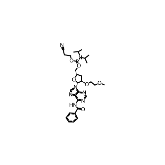 COCCO[C@@H]1C[C@@H](COP(OCCC#N)N(C(C)C)C(C)C)O[C@H]1n1cnc2c(NC(=O)c3ccccc3)ncnc21